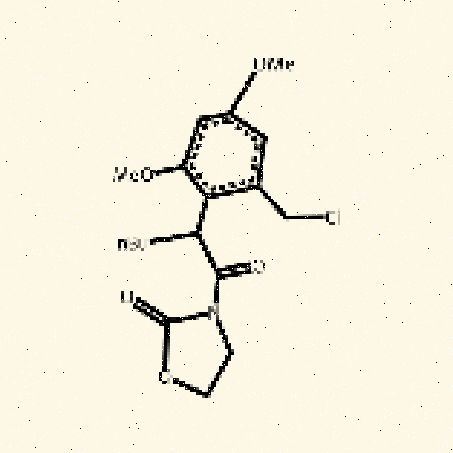 CCCCC(C(=O)N1CCOC1=O)c1c(CCl)cc(OC)cc1OC